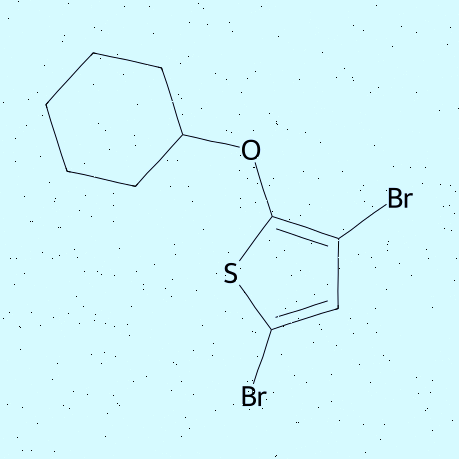 Brc1cc(Br)c(OC2CCCCC2)s1